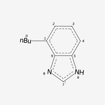 CCCCc1cccc2[nH][c]nc12